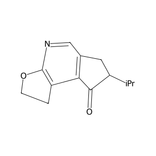 CC(C)C1Cc2cnc3c(c2C1=O)CCO3